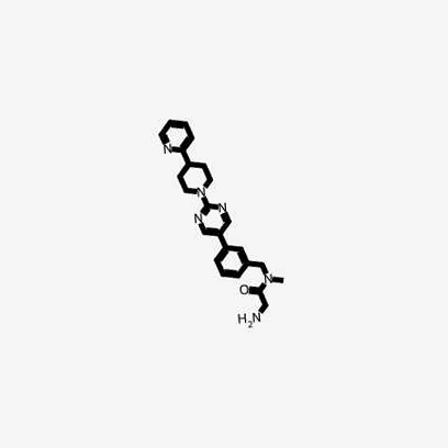 CN(Cc1cccc(-c2cnc(N3CCC(c4ccccn4)CC3)nc2)c1)C(=O)CN